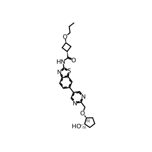 CCCO[C@H]1C[C@@H](C(=O)Nc2nc3ccc(-c4cnc(CO[C@H]5CCC[C@@H]5O)nc4)cc3s2)C1